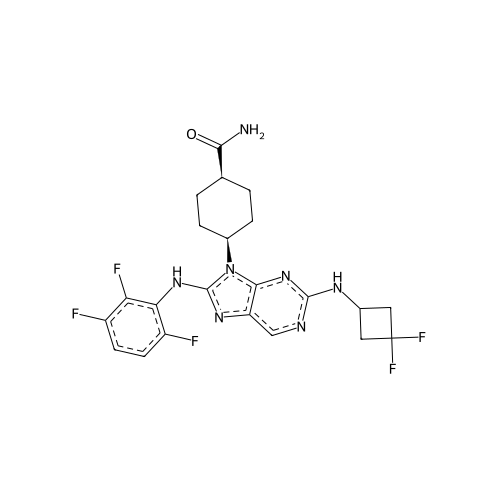 NC(=O)[C@H]1CC[C@@H](n2c(Nc3c(F)ccc(F)c3F)nc3cnc(NC4CC(F)(F)C4)nc32)CC1